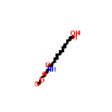 O=[C]COCCOCCNC(=O)CCCCCCCCCCCCCCCCC(=O)O